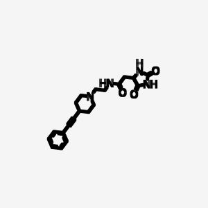 O=C(CC1NC(=O)NC1=O)NCCN1CCC(C#Cc2ccccc2)CC1